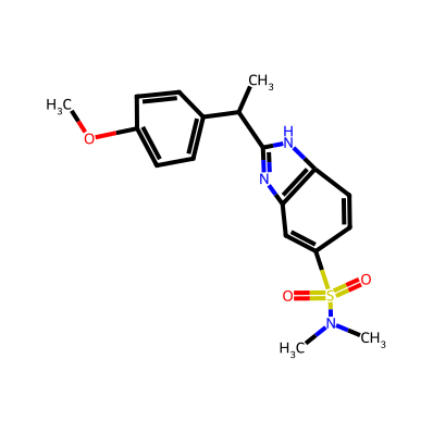 COc1ccc(C(C)c2nc3cc(S(=O)(=O)N(C)C)ccc3[nH]2)cc1